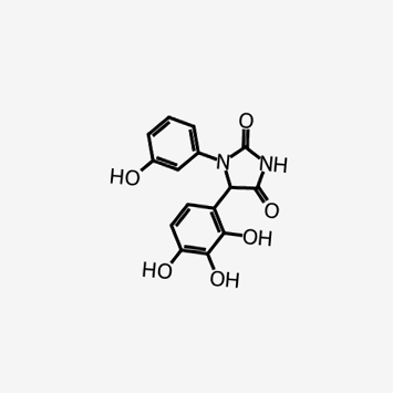 O=C1NC(=O)N(c2cccc(O)c2)C1c1ccc(O)c(O)c1O